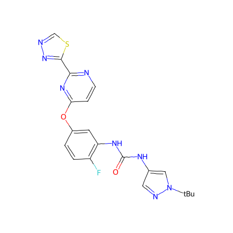 CC(C)(C)n1cc(NC(=O)Nc2cc(Oc3ccnc(-c4nncs4)n3)ccc2F)cn1